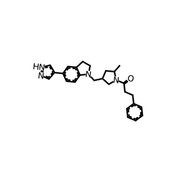 CC1CC(CN2CCc3cc(-c4cn[nH]c4)ccc32)CN1C(=O)CCc1ccccc1